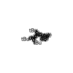 CC(C)(C)c1ccc2c(c1)c1cc(C(C)(C)C)cc3c4cc5c(cc4n2c13)c1cc(C(C)(C)C)cc2c3ccc(N(c4ccccc4)c4ccc6c7c4c4ccccc4n7C4CCCCC64)cc3n5c21